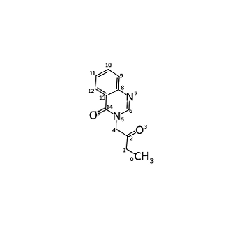 CCC(=O)Cn1cnc2ccccc2c1=O